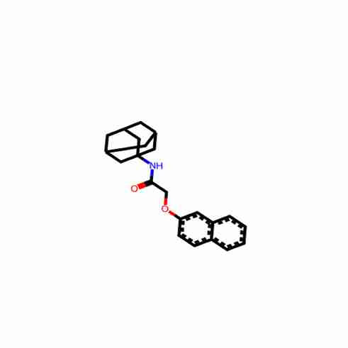 O=C(COc1ccc2ccccc2c1)NC12CC3CC(CC(C3)C1)C2